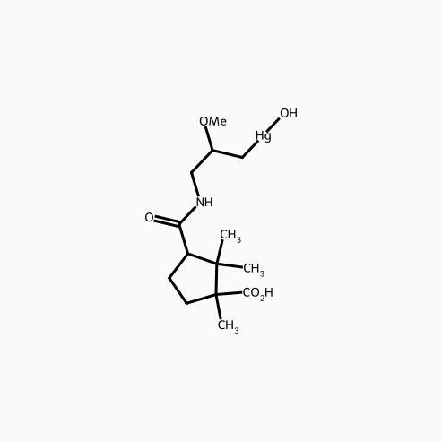 COC(CNC(=O)C1CCC(C)(C(=O)O)C1(C)C)[CH2][Hg][OH]